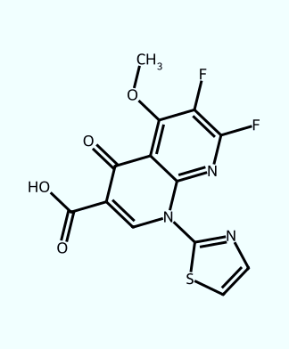 COc1c(F)c(F)nc2c1c(=O)c(C(=O)O)cn2-c1nccs1